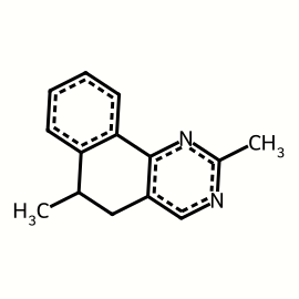 Cc1ncc2c(n1)-c1ccccc1C(C)C2